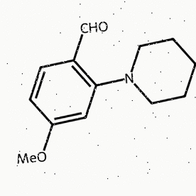 COc1ccc(C=O)c(N2CCCCC2)c1